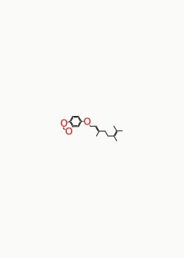 CC(C)=C(C)CC/C(C)=C/COc1ccc2c(c1)OCO2